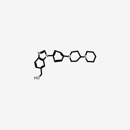 OCc1ccc2ncn(-c3ccc(N4CCC(N5CCCCC5)CC4)cc3)c2c1